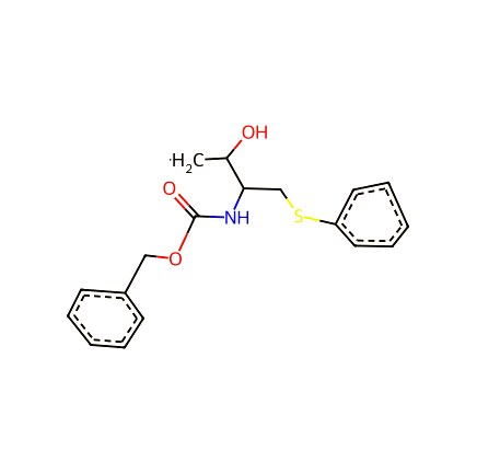 [CH2]C(O)C(CSc1ccccc1)NC(=O)OCc1ccccc1